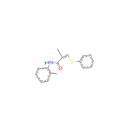 CC(=CSc1ccccc1)C(=O)Nc1ccccc1C